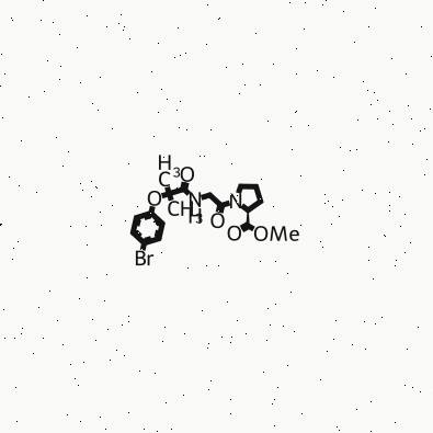 COC(=O)[C@@H]1CCCN1C(=O)CNC(=O)C(C)(C)Oc1ccc(Br)cc1